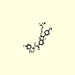 O=C(O)CCCCc1nc2cc(C(=O)N[C@@H]3CCOc4cc(F)ccc43)ccc2nc1-c1ccc(Cl)cc1